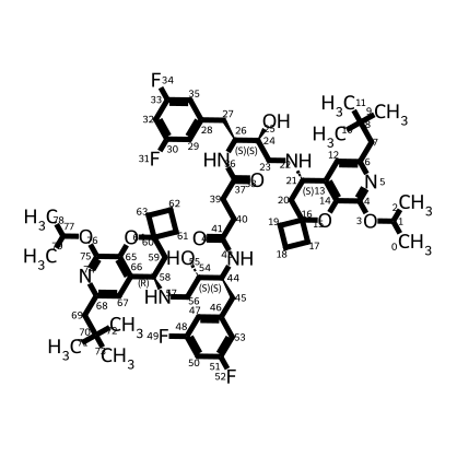 CC(C)Oc1nc(CC(C)(C)C)cc2c1OC1(CCC1)C[C@@H]2NC[C@H](O)[C@H](Cc1cc(F)cc(F)c1)NC(=O)CCC(=O)N[C@@H](Cc1cc(F)cc(F)c1)[C@@H](O)CN[C@@H]1CC2(CCC2)Oc2c1cc(CC(C)(C)C)nc2OC(C)C